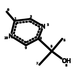 Cc1cnc(C(C)(C)O)cn1